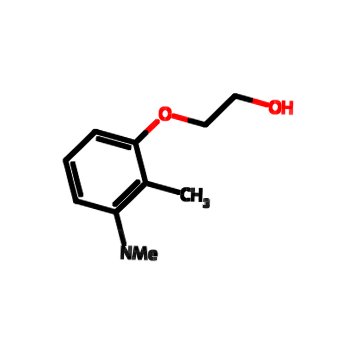 CNc1cccc(OCCO)c1C